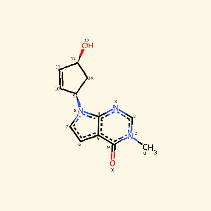 Cn1cnc2c(ccn2[C@H]2C=C[C@@H](O)C2)c1=O